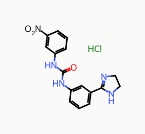 Cl.O=C(Nc1cccc(C2=NCCN2)c1)Nc1cccc([N+](=O)[O-])c1